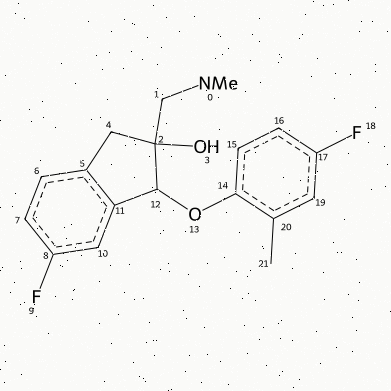 CNCC1(O)Cc2ccc(F)cc2C1Oc1ccc(F)cc1C